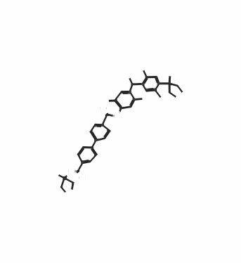 CCC(C)(CC)OC(=O)c1ccc(-c2ccc(C(=O)Oc3cc(C)c(C(C)c4cc(C)c(C(C)(CC)CC)cc4C)cc3C)cc2)cc1